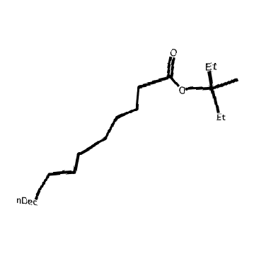 CCCCCCCCCCCCCCCCCC(=O)OC(C)(CC)CC